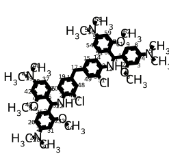 COc1cc(N(C)C)ccc1C(Nc1ccc(Cc2ccc(NC(c3ccc(N(C)C)cc3OC)c3ccc(N(C)C)cc3OC)c(Cl)c2)cc1Cl)c1ccc(N(C)C)cc1OC